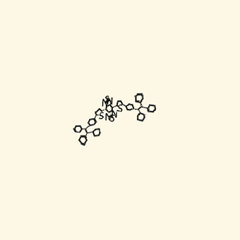 c1ccc(C(=C(c2ccccc2)c2ccc(-c3ccc(-c4c5c(c(-c6ccc(-c7ccc(C(=C(c8ccccc8)c8ccccc8)c8ccccc8)cc7)s6)c6c4N=S=N6)N=S=N5)s3)cc2)c2ccccc2)cc1